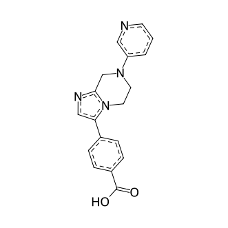 O=C(O)c1ccc(-c2cnc3n2CCN(c2cccnc2)C3)cc1